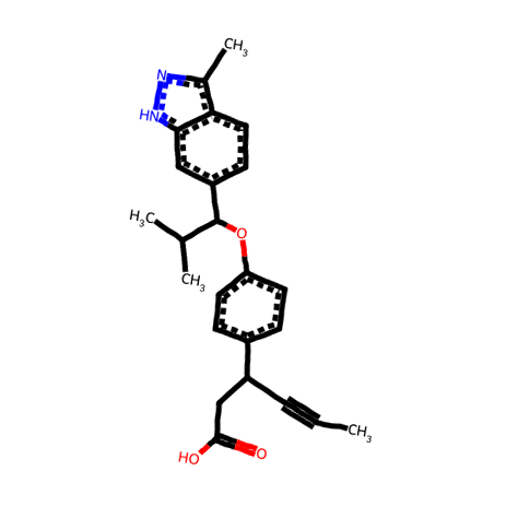 CC#CC(CC(=O)O)c1ccc(OC(c2ccc3c(C)n[nH]c3c2)C(C)C)cc1